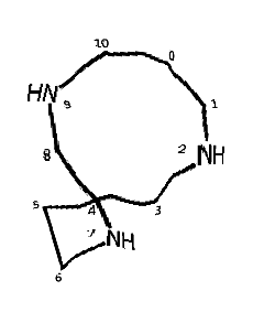 C1CNCC2(CCN2)CNC1